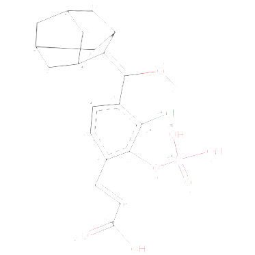 COC(=C1C2CC3CC(C2)CC1C3)c1ccc(/C=C/C(=O)O)c(OP(=O)(O)O)c1Cl